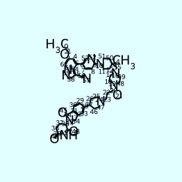 CCOc1cc(-c2ccc(N3CCC(C)(CN4CCN(C(=O)CCN5CCC(c6ccc7c(c6)CN(C6CCC(=O)NC6=O)C7=O)CC5)CC4)CC3)nc2)c2c(C#N)cnn2c1